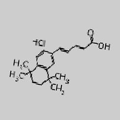 CC1(C)CCC(C)(C)c2cc(C=CC=CC(=O)O)ccc21.Cl